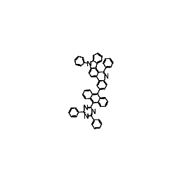 c1ccc(-c2nc(-c3ccccc3)nc(-c3c4ccccc4c(-c4ccc5nc(-c6ccccc6)c6c(ccc7c6c6ccccc6n7-c6ccccc6)c5c4)c4ccccc34)n2)cc1